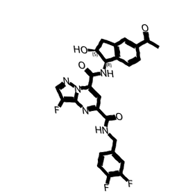 CC(=O)c1ccc2c(c1)C[C@H](O)[C@@H]2NC(=O)c1cc(C(=O)NCc2ccc(F)c(F)c2)nc2c(F)cnn12